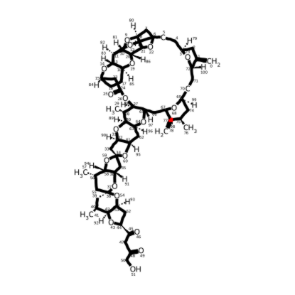 C=C1C[C@@H]2CCC34C[C@@H]5O[C@H]6[C@@H](O3)[C@H]3O[C@H](CC[C@@H]3O[C@H]6[C@@H]5O4)CC(=O)O[C@@H]3[C@@H](C)[C@@H]4O[C@@H]5C[C@]6(C[C@@H]7O[C@]8(C[C@H](C)[C@@H]9O[C@H](C(=O)CC(=O)CO)C[C@@H]9O8)C[C@H](C)[C@@H]7O6)O[C@@H]5C[C@@H]4O[C@H]3C[C@H]3O[C@@H](CC[C@@H]1O2)C[C@@H](C)C3=C